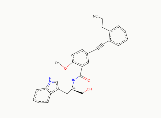 CC(C)Oc1ccc(C#Cc2ccccc2CCC#N)cc1C(=O)N[C@@H](CO)Cc1c[nH]c2ccccc12